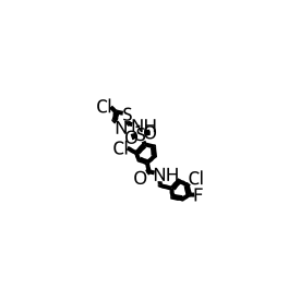 O=C(NCc1ccc(F)c(Cl)c1)c1ccc(S(=O)(=O)Nc2ncc(Cl)s2)c(Cl)c1